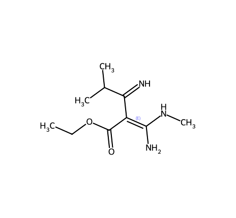 CCOC(=O)/C(C(=N)C(C)C)=C(\N)NC